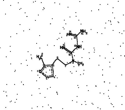 Cc1occc1CCN(C)C(=N)NC(=N)N